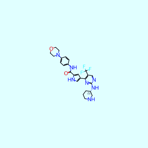 O=C(Nc1ccc(N2CCOCC2)cc1)c1cc(-c2nc(N[C@H]3CCCNC3)ncc2C(F)(F)F)c[nH]1